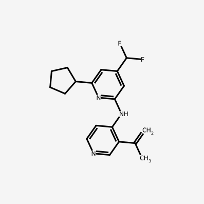 C=C(C)c1cnccc1Nc1cc(C(F)F)cc(C2CCCC2)n1